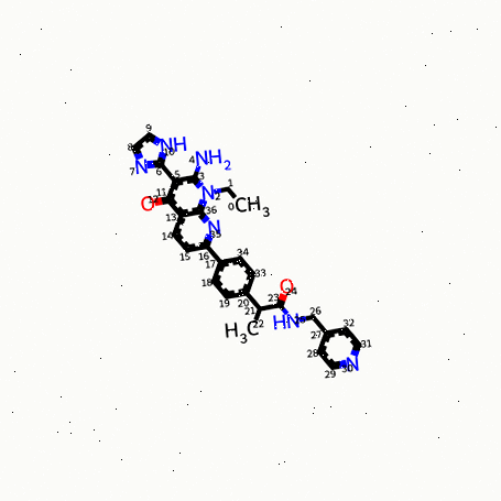 CCn1c(N)c(-c2ncc[nH]2)c(=O)c2ccc(-c3ccc(C(C)C(=O)NCc4ccncc4)cc3)nc21